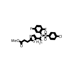 COC(=O)CCc1ncc(C(C)N(c2cc(F)ccc2F)S(=O)(=O)c2ccc(Cl)cc2)s1